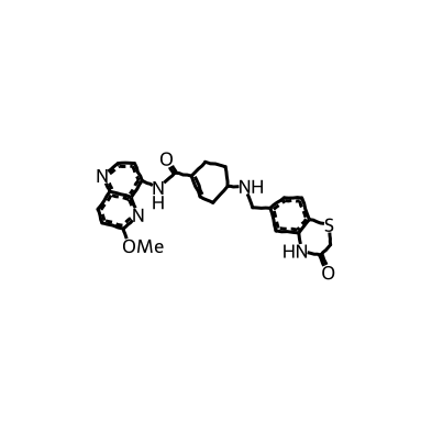 COc1ccc2nccc(NC(=O)C3=CCC(NCc4ccc5c(c4)NC(=O)CS5)CC3)c2n1